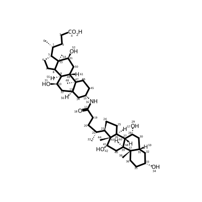 C[C@H](CCC(=O)O)[C@H]1CCC2[C@@H]3[C@H](O)C[C@@H]4C[C@@H](NC(=O)CC[C@@H](C)[C@H]5CC[C@H]6[C@@H]7[C@H](O)C[C@@H]8C[C@H](O)CC[C@]8(C)[C@H]7C[C@H](O)[C@]56C)CC[C@]4(C)[C@H]3C[C@H](O)[C@@]21C